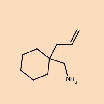 C=CCC1(CN)CCCCC1